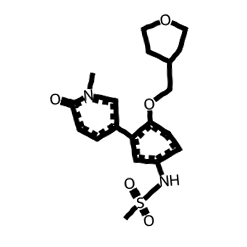 Cn1cc(-c2cc(NS(C)(=O)=O)ccc2OCC2CCOCC2)ccc1=O